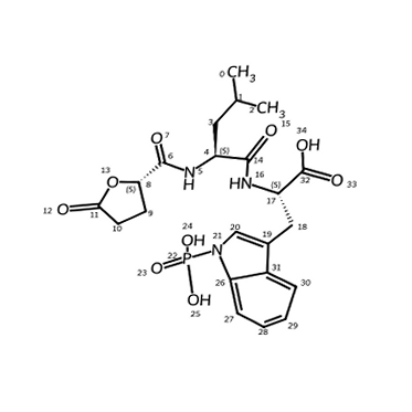 CC(C)C[C@H](NC(=O)[C@@H]1CCC(=O)O1)C(=O)N[C@@H](Cc1cn(P(=O)(O)O)c2ccccc12)C(=O)O